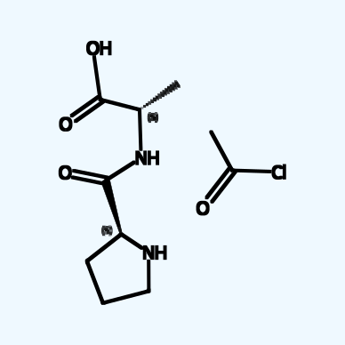 CC(=O)Cl.C[C@H](NC(=O)[C@@H]1CCCN1)C(=O)O